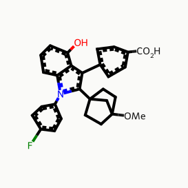 COC12CCC(c3c(-c4ccc(C(=O)O)cc4)c4c(O)cccc4n3-c3ccc(F)cc3)(CC1)C2